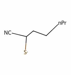 CCCCCC([S])C#N